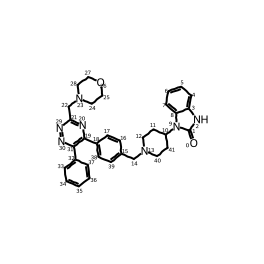 O=c1[nH]c2ccccc2n1C1CCN(Cc2ccc(-c3nc(CN4CCOCC4)nnc3-c3ccccc3)cc2)CC1